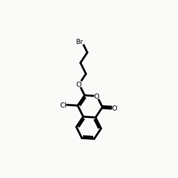 O=c1oc(OCCCBr)c(Cl)c2ccccc12